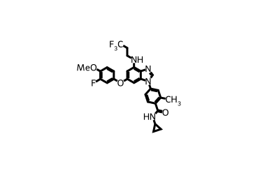 COc1ccc(Oc2cc(NCCC(F)(F)F)c3ncn(-c4ccc(C(=O)NC5CC5)c(C)c4)c3c2)cc1F